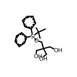 CC(C)(C)[Si](OCC(CO)(CO)CO)(c1ccccc1)c1ccccc1